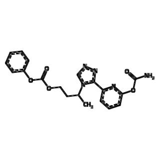 CC(CCOC(=O)Oc1ccccc1)n1cnnc1-c1cccc(OC(N)=O)n1